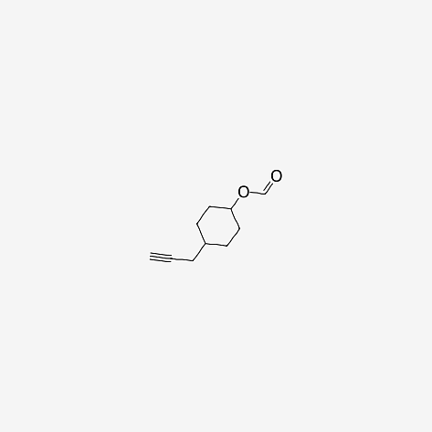 C#CCC1CCC(OC=O)CC1